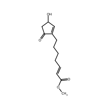 COC(=O)C=CCCCCC1=CC(O)CC1=O